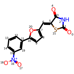 O=C1NC(=O)C(=Cc2ccc(-c3cccc([N+](=O)[O-])c3)o2)S1